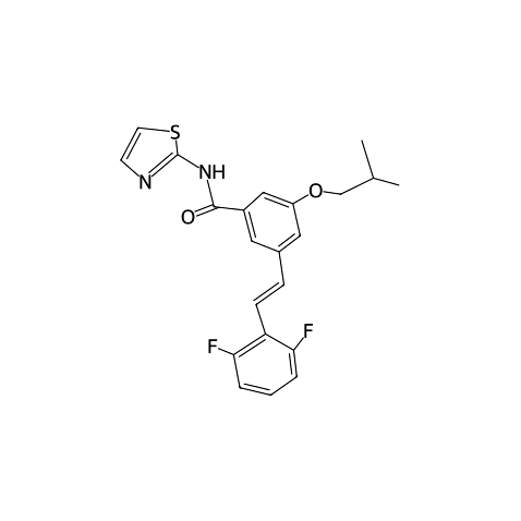 CC(C)COc1cc(C=Cc2c(F)cccc2F)cc(C(=O)Nc2nccs2)c1